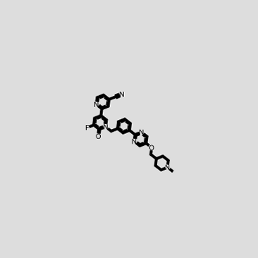 CN1CCC(COc2cnc(-c3cccc(Cn4cc(-c5cc(C#N)ccn5)cc(F)c4=O)c3)nc2)CC1